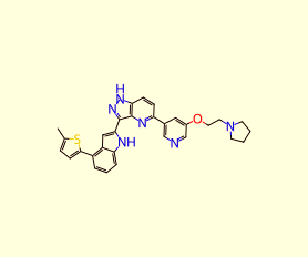 Cc1ccc(-c2cccc3[nH]c(-c4n[nH]c5ccc(-c6cncc(OCCN7CCCC7)c6)nc45)cc23)s1